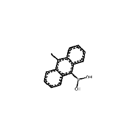 Cc1c2ccccc2c(B(O)O)c2ccccc12